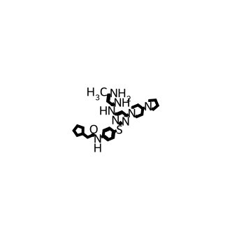 C/C(N)=C/C(=N)Nc1cc(N2CCC(N3CCCC3)CC2)nc(Sc2ccc(NC(=O)CC3CCCC3)cc2)n1